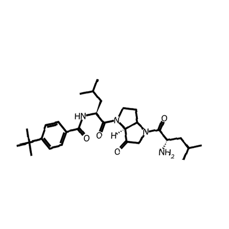 CC(C)C[C@H](NC(=O)c1ccc(C(C)(C)C)cc1)C(=O)N1CCC2[C@H]1C(=O)CN2C(=O)[C@@H](N)CC(C)C